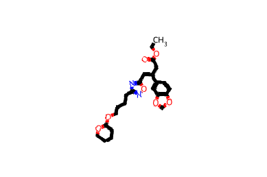 CCOC(=O)CC(Cc1nc(CCCCOC2CCCCO2)no1)c1ccc2c(c1)OCO2